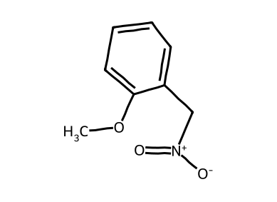 COc1ccccc1C[N+](=O)[O-]